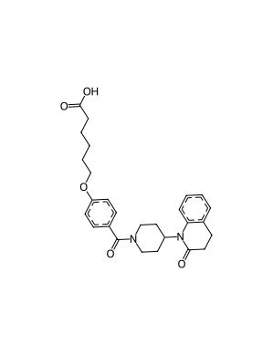 O=C(O)CCCCCOc1ccc(C(=O)N2CCC(N3C(=O)CCc4ccccc43)CC2)cc1